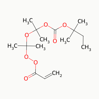 C=CC(=O)OOC(C)(C)OC(C)(C)OC(=O)OC(C)(C)CC